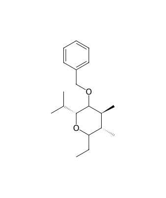 CCC1O[C@H](C(C)C)C(OCc2ccccc2)[C@@H](C)[C@@H]1C